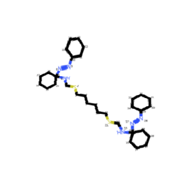 C(CCCSCNC1(N=NC2CCCCC2)CCCCC1)CCSCNC1(N=NC2CCCCC2)CCCCC1